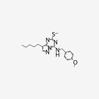 CCCCCc1cnn2c(NCc3ccc(OC)cc3)nc(SC)nc12